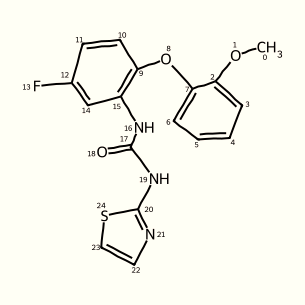 COc1ccccc1Oc1ccc(F)cc1NC(=O)Nc1nccs1